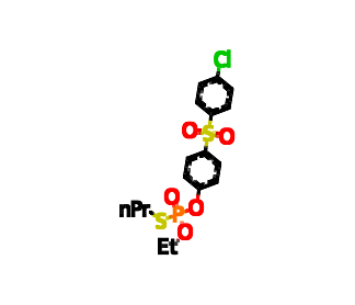 CCCSP(=O)(OCC)Oc1ccc(S(=O)(=O)c2ccc(Cl)cc2)cc1